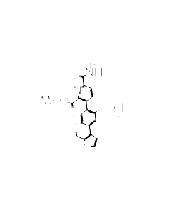 CCCNC(=O)c1ccc(-c2cc3c(cc2C(=O)O)-c2ccsc2CO3)c(C(=O)OC)n1